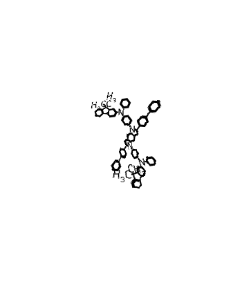 CC1(C)c2ccccc2-c2ccc(N(c3ccccc3)c3ccc(-n4c(-c5ccc(-c6ccccc6)cc5)cc5cc6c(cc(-c7ccc(-c8ccccc8)cc7)n6-c6ccc(N(c7ccccc7)c7ccc8c(c7)C(C)(C)c7ccccc7-8)cc6)cc54)cc3)cc21